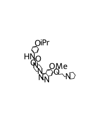 COc1cc2c(N3CCN(OC(=O)Nc4ccc(OC(C)C)cc4)CC3)ncnc2cc1OCCCN1CCCCC1